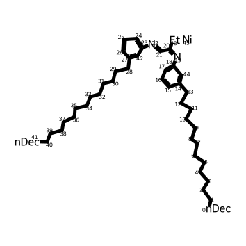 CCCCCCCCCCCCCCCCCCCCCCCc1cccc(/N=C(\C=N\c2cccc(CCCCCCCCCCCCCCCCCCCCCCC)c2)CC)c1.[Ni]